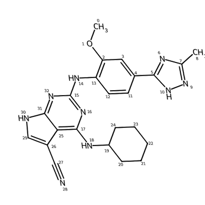 COc1cc(-c2nc(C)n[nH]2)ccc1Nc1nc(NC2CCCCC2)c2c(C#N)c[nH]c2n1